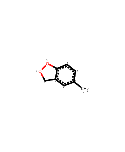 [CH2]c1ccc2c(c1)COO2